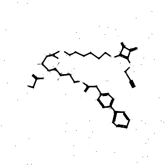 C#CCNc1c(NCCCCCCO[C@]2(C(=O)O)C[C@H](O)[C@@H](NC(=O)CO)[C@H]([C@H](O)[C@H](O)CNC(=O)Cc3ccc(-c4ccccc4)cc3)O2)c(=O)c1=O